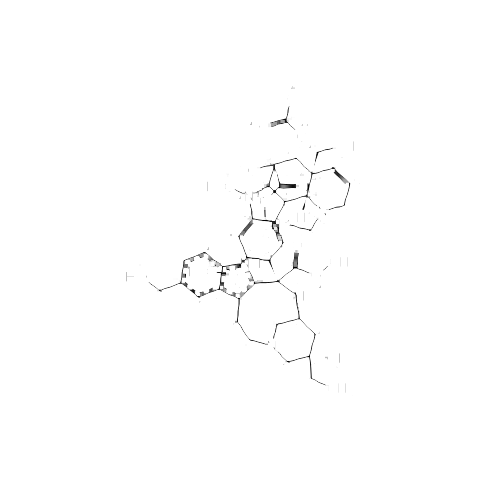 CC[C@]1(O)C[C@H]2CN(CCc3c([nH]c4ccc(CO)cc34)[C@@](C(=O)OC)(C3C=C4C(=CC3OC)N(C)[C@@]35O[C@]3(C(=O)OC)[C@H](OC(C)=O)[C@]3(CC)C=CCN6CC[C@]45[C@@H]63)C2)C1